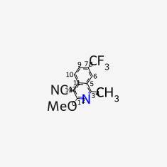 COc1nc(C)c2cc(C(F)(F)F)ccc2c1C#N